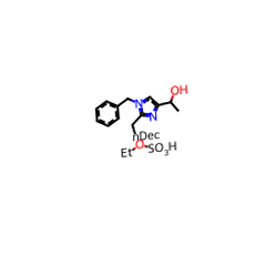 CCCCCCCCCCCc1nc(C(C)O)cn1Cc1ccccc1.CCOS(=O)(=O)O